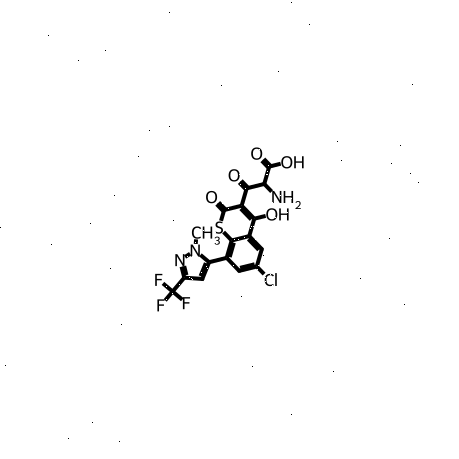 Cn1nc(C(F)(F)F)cc1-c1cc(Cl)cc2c(O)c(C(=O)C(N)C(=O)O)c(=O)sc12